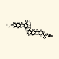 Cc1cc(Nc2ncnc3ccc(OC4CCN(C(=O)OC(C)(C)C)CC4)nc23)c(F)cc1Oc1ccc2cn(C)nc2c1